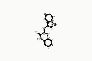 O=C1Nc2ccccc2S/C1=C\c1c[nH]c2ccccc12